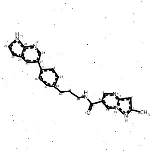 Cc1cc2ncc(C(=O)NCCCc3ccc(-c4cnc5[nH]ccc5c4)cc3)cn2n1